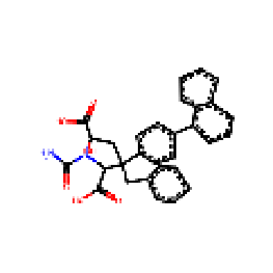 NC(=O)NC(C(=O)O)C(Cc1ccccc1)(CC(O)C(=O)O)c1ccc(-c2cccc3ccccc23)cc1